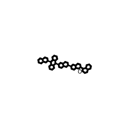 c1ccc2cc(-c3c4ccccc4c(-c4ccc5cc(-c6ccc7c(ccc8c7oc7ccc9ccccc9c78)c6)ccc5c4)c4ccccc34)ccc2c1